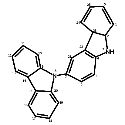 C1=CC2Nc3ccc(-n4c5ccccc5c5ccccc54)cc3C2C=C1